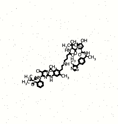 COc1cc(CCNCCCC(=O)N[C@H](C(=O)N2C[C@H](O)C[C@H]2C(=O)N[C@@H](C)c2ccc(-c3scnc3C)cc2)C(C)(C)C)c(C)cc1Nc1ncc(Cl)c(Nc2ccccc2S(=O)(=O)C(C)C)n1